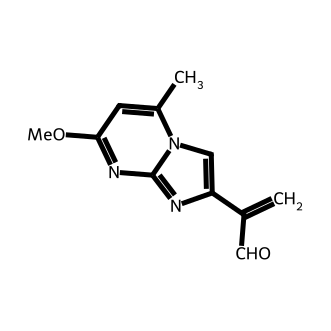 C=C(C=O)c1cn2c(C)cc(OC)nc2n1